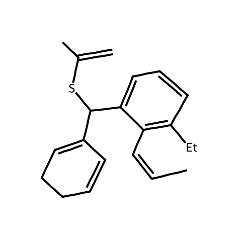 C=C(C)SC(C1=CCCC=C1)c1cccc(CC)c1/C=C\C